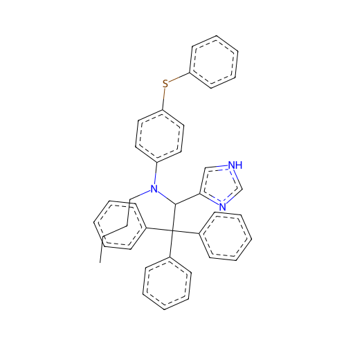 CCCCN(c1ccc(Sc2ccccc2)cc1)C(c1c[nH]cn1)C(c1ccccc1)(c1ccccc1)c1ccccc1